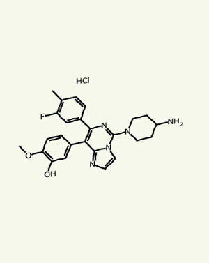 COc1ccc(-c2c(-c3ccc(C)c(F)c3)nc(N3CCC(N)CC3)n3ccnc23)cc1O.Cl